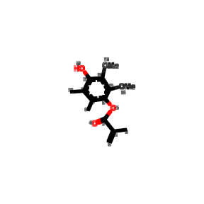 C=C(C)C(=O)Oc1c(C)c(C)c(O)c(OC)c1OC